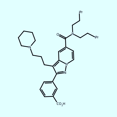 CC(C)CCN(CCC(C)C)C(=O)c1ccn2nc(-c3cccc(C(=O)O)c3)c(CCCN3CCCCC3)c2c1